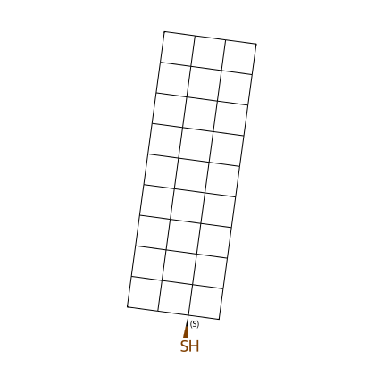 S[C@@]12CC3C4C5C6C7C8C9C%10CC%11C%12CC%13C%14C%15C%16C%17C%18C%19C%20CC1C%201C%19%20C%18%19C%17%18C%16%17C%15%16C%14%15C%12%13C%11%10C9%15C8%16C7%17C6%18C5%19C4%20C312